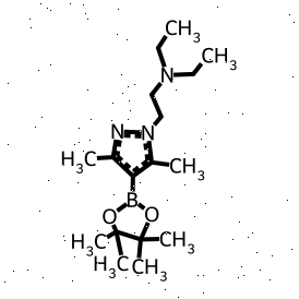 CCN(CC)CCn1nc(C)c(B2OC(C)(C)C(C)(C)O2)c1C